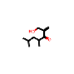 C=C(CO)C(=O)C(C)CC(C)C